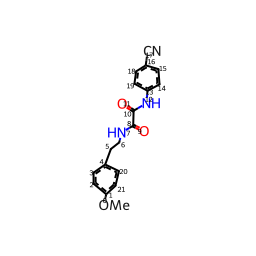 COc1ccc(CCNC(=O)C(=O)Nc2ccc(C#N)cc2)cc1